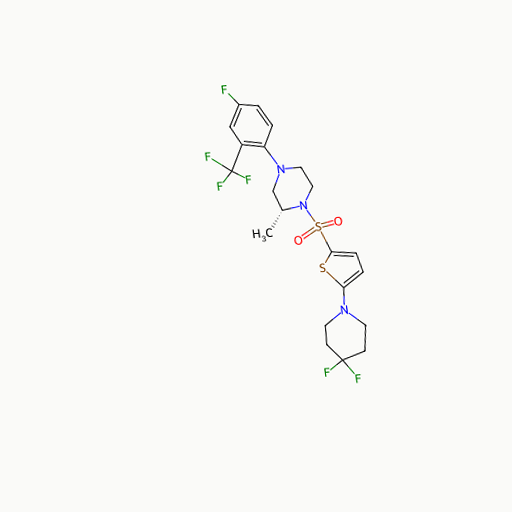 C[C@@H]1CN(c2ccc(F)cc2C(F)(F)F)CCN1S(=O)(=O)c1ccc(N2CCC(F)(F)CC2)s1